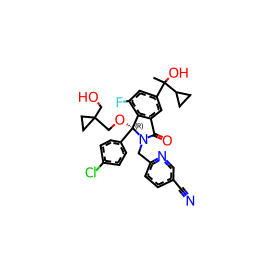 CC(O)(c1cc(F)c2c(c1)C(=O)N(Cc1ccc(C#N)cn1)[C@@]2(OCC1(CO)CC1)c1ccc(Cl)cc1)C1CC1